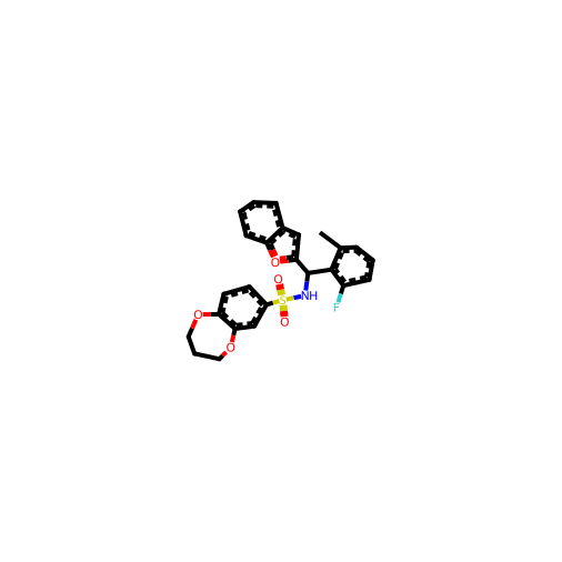 Cc1cccc(F)c1C(NS(=O)(=O)c1ccc2c(c1)OCCCO2)c1cc2ccccc2o1